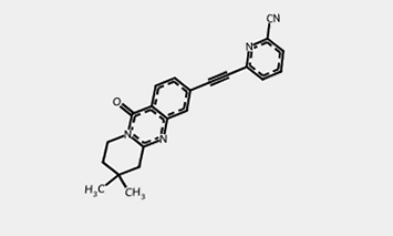 CC1(C)CCn2c(nc3cc(C#Cc4cccc(C#N)n4)ccc3c2=O)C1